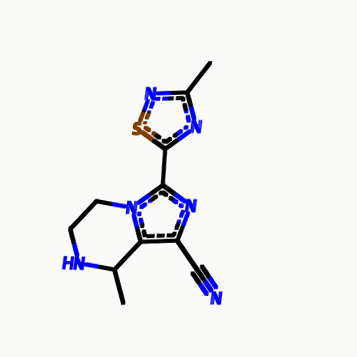 Cc1nsc(-c2nc(C#N)c3n2CCNC3C)n1